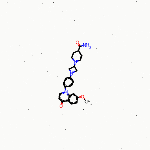 COc1ccc2c(=O)ccn(-c3ccc(N4CC(N5CCC(C(N)=O)CC5)C4)cc3)c2c1